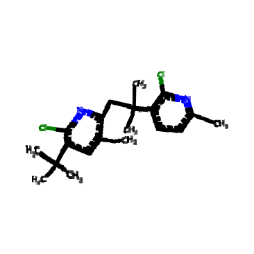 Cc1ccc(C(C)(C)Cc2nc(Cl)c(C(C)(C)C)cc2C)c(Cl)n1